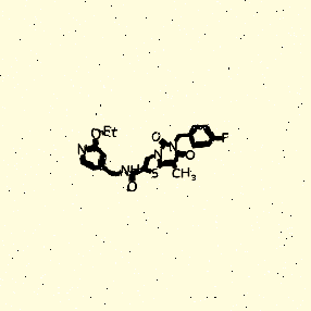 CCOc1cc(CNC(=O)c2cn3c(=O)n(Cc4ccc(F)cc4)c(=O)c(C)c3s2)ccn1